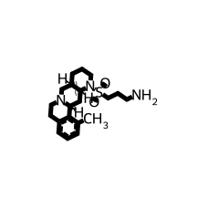 Cc1cccc2c1[C@@H]1C[C@H]3[C@H](CCCN3S(=O)(=O)CCCN)CN1CC2